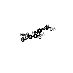 COc1cc(-c2ccc3c(c2)Nc2ccc(CCn4cnc(CO)c4)cc2NC3=O)ccc1OCc1cscn1